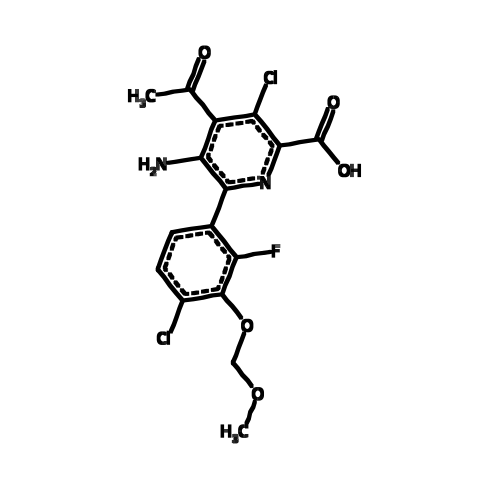 COCOc1c(Cl)ccc(-c2nc(C(=O)O)c(Cl)c(C(C)=O)c2N)c1F